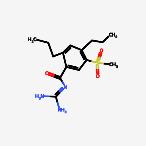 CCCc1cc(CCC)c(S(C)(=O)=O)cc1C(=O)N=C(N)N